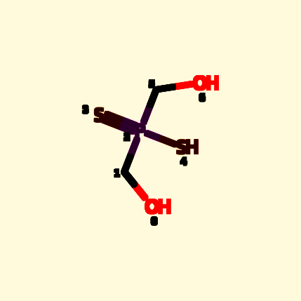 OCP(=S)(S)CO